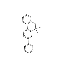 CC1(C)Cc2ccccc2-c2ccc(-c3ccccc3)cc21